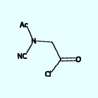 CC(=O)N(C#N)CC(=O)Cl